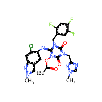 Cn1cnc(Cn2c(=O)n(Cc3cc(F)c(F)cc3F)c(=Nc3cc4cn(C)nc4cc3Cl)n(OC(=O)C(C)(C)C)c2=O)n1